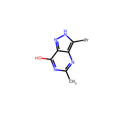 Cc1nc(O)c2n[nH]c(C(C)C)c2n1